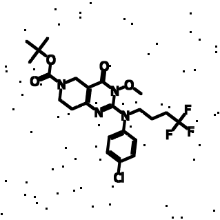 COn1c(N(CCCC(F)(F)F)c2ccc(Cl)cc2)nc2c(c1=O)CN(C(=O)OC(C)(C)C)CC2